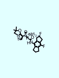 CC1(C)Cn2ncc([S@@](N)(=O)=NC(=O)Nc3c4c(c(F)c5c3C[C@@H](F)C5)CCC4)c2O1